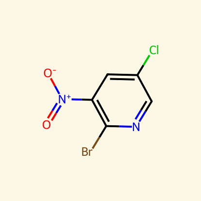 O=[N+]([O-])c1cc(Cl)cnc1Br